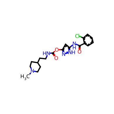 CN1CCC(CCNC(=O)Oc2cc(NC(=O)c3ccccc3Cl)[nH]n2)CC1